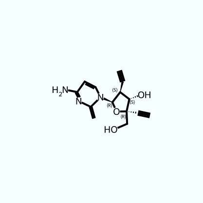 C#C[C@@H]1[C@H](N2C=CC(N)=NC2=C)O[C@](C#C)(CO)[C@H]1O